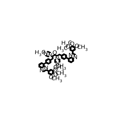 COc1cc(-c2cnc3cccc(-c4ccc(CC(C(=O)C(Cc5ccc(-c6cccc7ncc(-c8cc(OC)c(OC)c(OC)c8)nc67)cc5)N5CCN(C)CC5)N5CCN(C)CC5)cc4)c3n2)cc(OC)c1OC